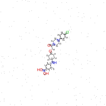 Cc1cc(N(O)O)ccc1NC1CCC(OCC(=O)N2CCN(c3ccc(Cl)cc3)CC2)CC1